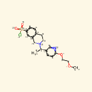 COCCOc1ccc(C(C)N2CCc3ccc(S(=O)(=O)Cl)cc3C2)cn1